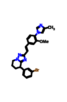 COc1cc(/C=C/c2nc3n(n2)CCCC3c2cccc(Br)c2)ccc1-n1cnc(C)c1